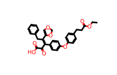 CCOC(=O)CCc1ccc(Oc2ccc(C(C(=O)C(=O)O)=C(Cc3ccccc3)C3=COCO3)cc2)cc1